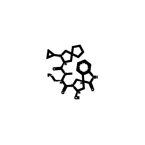 CC(C)C[C@@H](C(=O)N1C[C@]2(C[C@H]1C#N)C(=O)Nc1ccccc12)N(C)C(=O)[C@@H]1CC2(CCCC2)CN1C1CC1